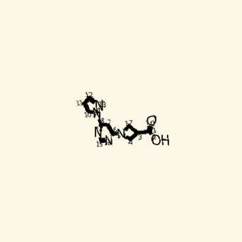 O=C(O)C1CN(c2cc(-n3cccn3)ncn2)C1